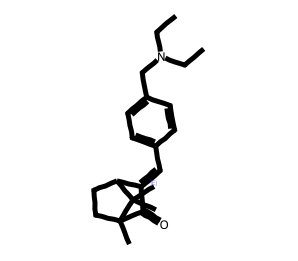 CCN(CC)Cc1ccc(/C=C2/C(=O)C3(C)CCC2C3(C)C)cc1